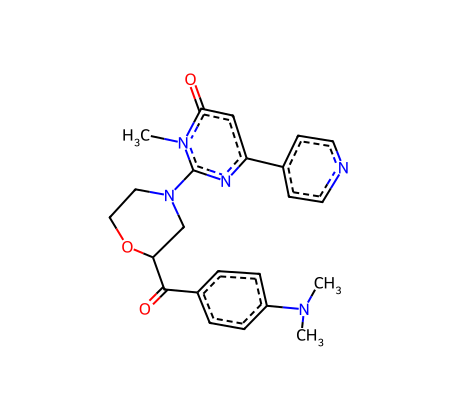 CN(C)c1ccc(C(=O)C2CN(c3nc(-c4ccncc4)cc(=O)n3C)CCO2)cc1